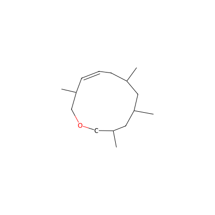 CC1C=CCC(C)CC(C)CC(C)COC1